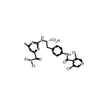 CCN(CC)C(=O)c1cc(C)nc(N[C@@H](Cc2ccc(NC(=O)c3c(Cl)cncc3Cl)cc2)C(=O)O)n1